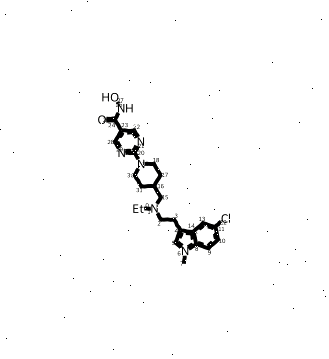 CCN(CCc1cn(C)c2ccc(Cl)cc12)CC1CCN(c2ncc(C(=O)NO)cn2)CC1